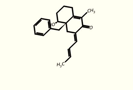 C/C=C/C=C1\C[C@@]2(Cc3ccccc3)C(=C(C)C1=O)CCC[C@@H]2O